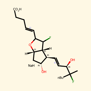 CCCCC(C)(F)[C@H](O)/C=C/[C@@H]1[C@H]2C(F)C(/C=C/CCC(=O)O)O[C@H]2C[C@H]1O.[NaH]